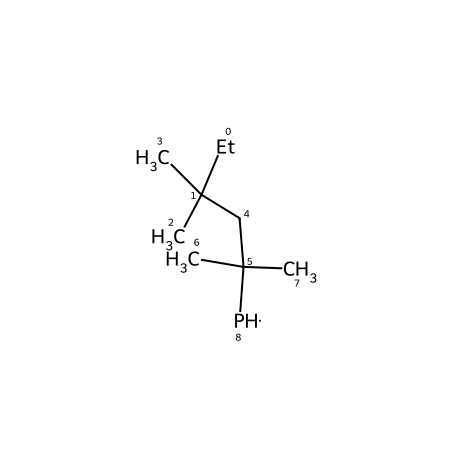 CCC(C)(C)CC(C)(C)[PH]